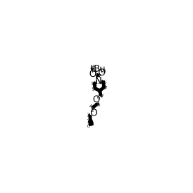 C#CCOCCOCC1CCN(C(=O)OC(C)(C)C)CC1